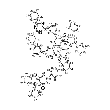 c1ccc(-c2cc(-c3ccccc3)c3sc4c(-c5cccc(-c6nc(-c7ccccc7)nc(-c7cccc(-c8cccc(-c9ccc(-c%10cccc%11c%10sc%10c(-c%12ccc(-c%13cc%14c%15c(c%13)Oc%13ccccc%13B%15c%13ccccc%13O%14)cc%12)cccc%10%11)cc9)c8)c7)n6)c5)cccc4c3c2)cc1